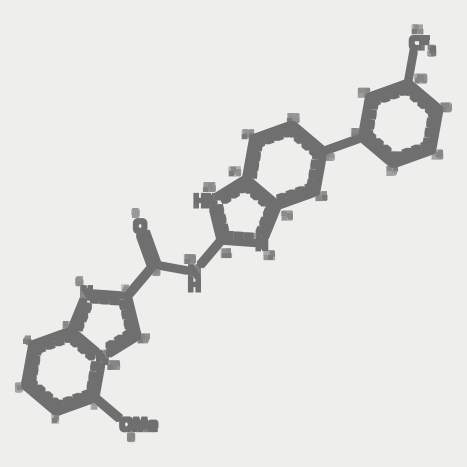 COc1cccc2nc(C(=O)Nc3nc4cc(-c5cccc(C(F)(F)F)c5)ccc4[nH]3)cn12